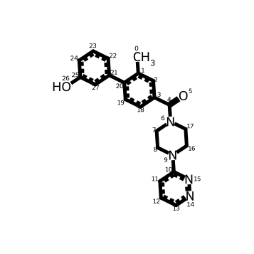 Cc1cc(C(=O)N2CCN(c3cccnn3)CC2)ccc1-c1cccc(O)c1